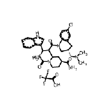 CC(c1c[nH]c2ccccc12)C(C(=O)N1C[C@@H](CN(C)C)Cc2cc(Cl)ccc21)C1CC(C(N)=O)CCN1C(N)=O.O=C(O)C(F)(F)F